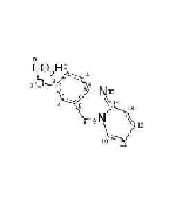 O=C(O)Oc1ccc2c(c1)CN1C=CC=CC1=N2